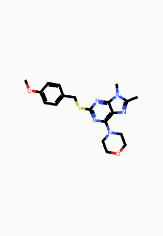 COc1ccc(CSc2nc(N3CCOCC3)c3nc(C)n(C)c3n2)cc1